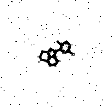 Cc1cnc(Cl)nc1-c1cn2c3c(cccc13)OCC2